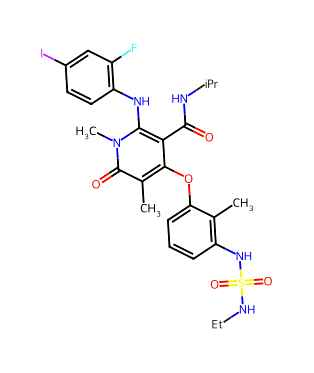 CCNS(=O)(=O)Nc1cccc(Oc2c(C(=O)NC(C)C)c(Nc3ccc(I)cc3F)n(C)c(=O)c2C)c1C